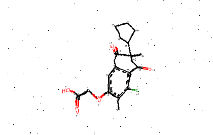 Cc1c(OCC(=O)O)cc2c(c1Cl)C(=O)C(C)(C1CCCC1)C2=O